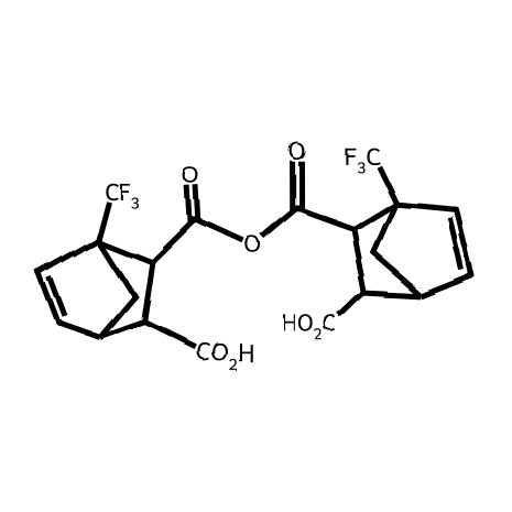 O=C(O)C1C2C=CC(C(F)(F)F)(C2)C1C(=O)OC(=O)C1C(C(=O)O)C2C=CC1(C(F)(F)F)C2